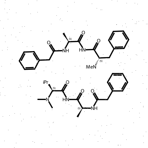 CC(C)[C@@H](C(=O)NC(=O)[C@H](C)NC(=O)Cc1ccccc1)N(C)C.CN[C@@H](Cc1ccccc1)C(=O)NC(=O)[C@H](C)NC(=O)Cc1ccccc1